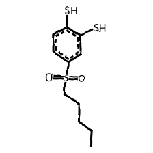 CCCCCS(=O)(=O)c1ccc(S)c(S)c1